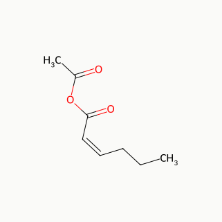 CCC/C=C\C(=O)OC(C)=O